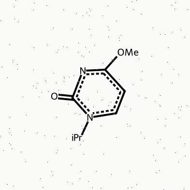 COc1ccn(C(C)C)c(=O)n1